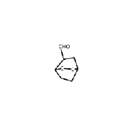 O=CC1CC2CCC1CC2